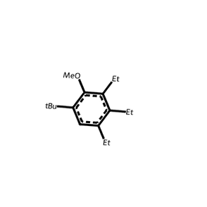 CCc1cc(C(C)(C)C)c(OC)c(CC)c1CC